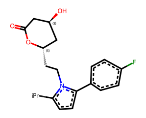 CC(C)c1ccc(-c2ccc(F)cc2)n1CC[C@H]1C[C@H](O)CC(=O)O1